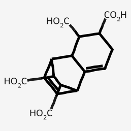 O=C(O)C1CC=C2C3C=CC(C(C(=O)O)C3C(=O)O)C2C1C(=O)O